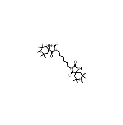 CN1C(C)(C)CC2(CC1(C)C)NC(=O)N(CCCCCCN1C(=O)NC3(CC(C)(C)N(C)C(C)(C)C3)C1=O)C2=O